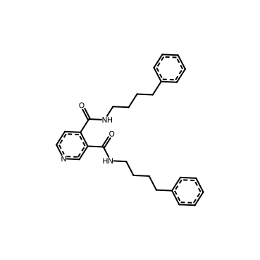 O=C(NCCCCc1ccccc1)c1ccncc1C(=O)NCCCCc1ccccc1